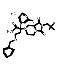 C[C@@](CCOCc1ccccc1)(C(N)=O)N1CCN2C(=O)N(CC(F)(F)F)C(=O)[C@]2(Cc2ccccn2)C1.Cl